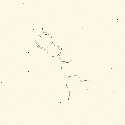 CCCC(CCC)NC(=O)c1cc2cc(C)ccc2o1